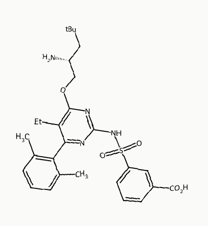 CCc1c(OC[C@H](N)CC(C)(C)C)nc(NS(=O)(=O)c2cccc(C(=O)O)c2)nc1-c1c(C)cccc1C